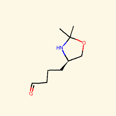 CC1(C)N[C@H](CCCC=O)CO1